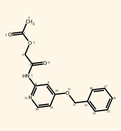 CC(=O)OCC(=O)Nc1cc(OCc2ccccc2)ccn1